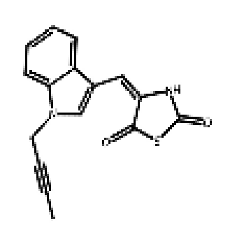 CC#CCn1cc(C=C2NC(=O)SC2=O)c2ccccc21